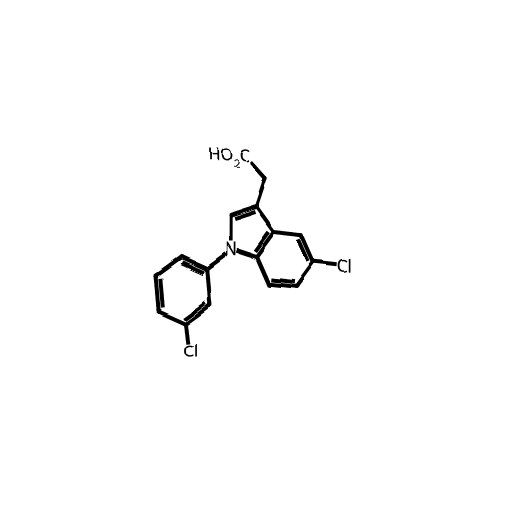 O=C(O)Cc1cn(-c2cccc(Cl)c2)c2ccc(Cl)cc12